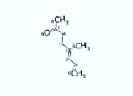 C=C/C=C(\C)CCC(C)=O